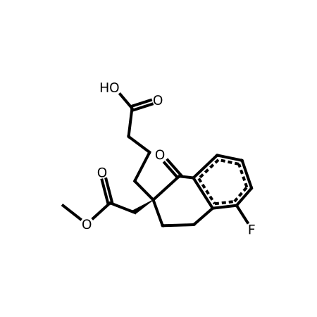 COC(=O)C[C@]1(CCCC(=O)O)CCc2c(F)cccc2C1=O